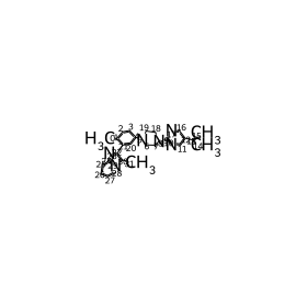 Cc1ccc(N2CCN(c3ncc(C(C)C)cn3)CC2)cc1-c1nc2ccccn2c1C